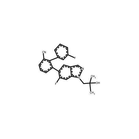 CC(C)(O)Cn1ncc2cc(-c3cccc(C#N)c3-c3cccc(F)c3)c(F)cc21